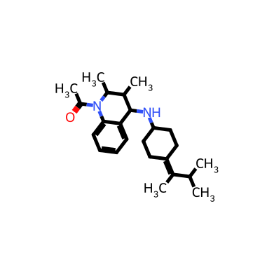 CC(=O)N1c2ccccc2C(NC2CCC(=C(C)C(C)C)CC2)C(C)C1C